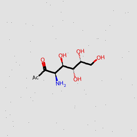 CC(=O)C(=O)[C@H](N)[C@@H](O)[C@@H](O)[C@H](O)CO